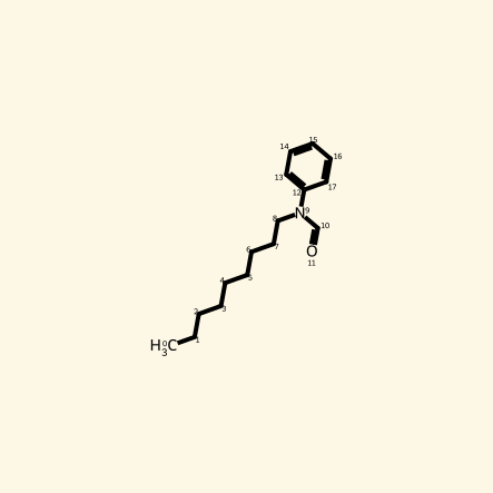 CCCCCCCCCN(C=O)c1ccccc1